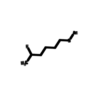 CC(=O)SCCCCC(C)F